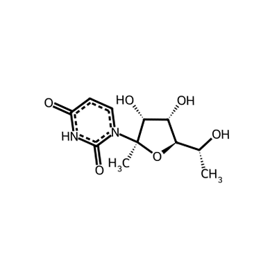 C[C@@H](O)[C@H]1O[C@@](C)(n2ccc(=O)[nH]c2=O)[C@H](O)[C@@H]1O